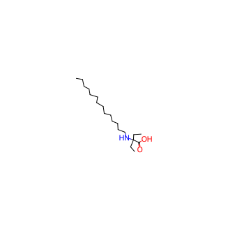 CCCCCCCCCCCCCCNC(CC)(CC)C(=O)O